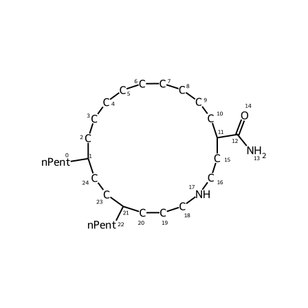 CCCCCC1CCCCCCCCCC(C(N)=O)CCNCCCC(CCCCC)CC1